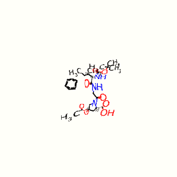 CC[C@H](C)[C@H](NC(=O)OC(C)(C)C)C(=O)NCC(=O)N1C[C@H](OC(C)=O)C[C@H]1C(=O)O.c1ccccc1